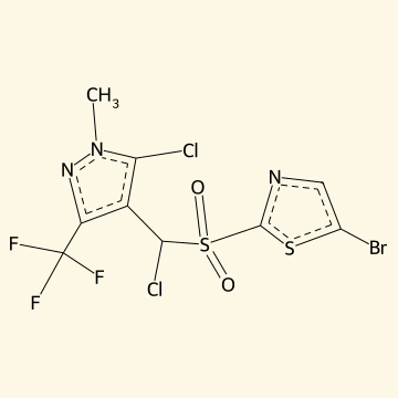 Cn1nc(C(F)(F)F)c(C(Cl)S(=O)(=O)c2ncc(Br)s2)c1Cl